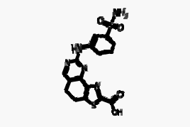 NS(=O)(=O)c1cccc(Nc2ncc3c(n2)-c2nc(C(=O)O)sc2CC3)c1